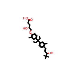 CCC(CC)(c1ccc(C=CC(O)C(C)(C)C)c(C)c1)c1ccc(OC[C@@H](O)CCC(=O)O)c(C)c1